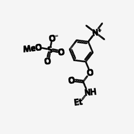 CCNC(=O)Oc1cccc([N+](C)(C)C)c1.COS(=O)(=O)[O-]